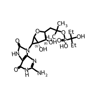 CCC(O)(CC)P(=O)(O)OC(C)(C)CC1OC2C(n3c(=O)[nH]c4c(=O)[nH]c(N)nc43)[C@]2(O)[C@@H]1O